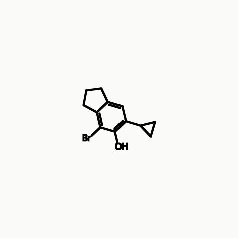 Oc1c(C2CC2)cc2c(c1Br)CCC2